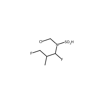 CC(CF)C(F)N(CCl)S(=O)(=O)O